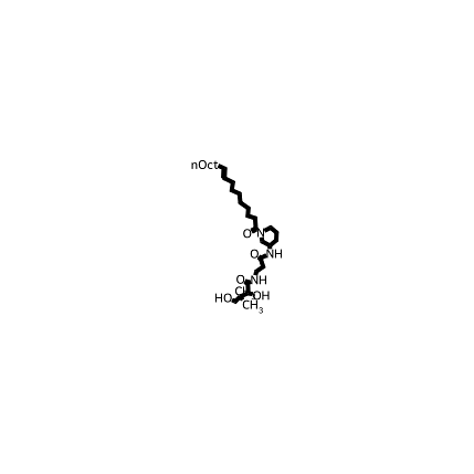 CCCCCCCCC=CCCCCCCCC(=O)N1CCCC(NC(=O)CCNC(=O)C(O)C(C)(C)CO)C1